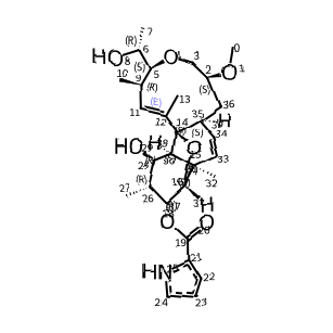 CO[C@@H]1CO[C@H]([C@@H](C)O)[C@H](C)/C=C(\C)[C@@]23O[C@H]4[C@H](OC(=O)c5ccc[nH]5)[C@H](C)[C@@H](O)[C@@H]2[C@@]4(C)C=C[C@@H]3C1